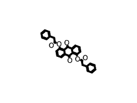 O=C(Cc1ccccc1)Oc1cccc2c1C(=O)c1cccc(OC(=O)Cc3ccccc3)c1C2=O